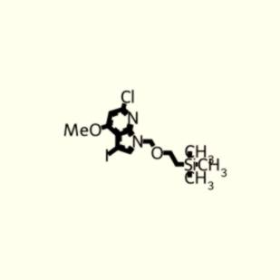 COc1cc(Cl)nc2c1c(I)cn2COCC[Si](C)(C)C